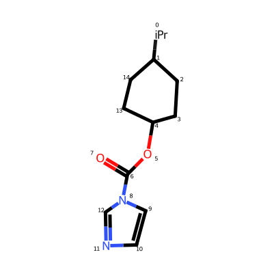 CC(C)C1CCC(OC(=O)n2ccnc2)CC1